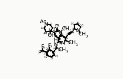 CC(=O)N1CCC(O)(c2cc3c(N[C@H](C)c4cccc(C(F)F)c4F)nc(C)c(C#C[C@H]4CCCN4C)c3n(C)c2=O)CC1